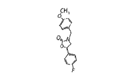 COc1ccc(CN2CC(c3ccc(F)cc3)OC2=O)cc1